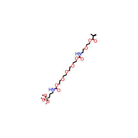 C=C(C)C(=O)OCCOCCNC(=O)OCCOCCOCCOCCOC(=O)NCCC[Si](OC)(OC)OC